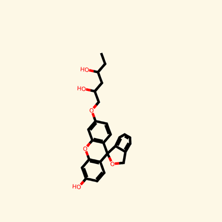 CCC(O)CC(O)COc1ccc2c(c1)Oc1cc(O)ccc1C21OCc2ccccc21